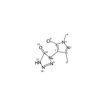 Cc1nn(C)c(Cl)c1-n1nn[nH]c1=O